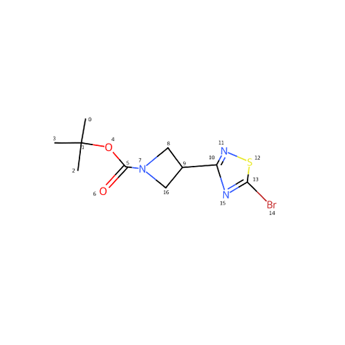 CC(C)(C)OC(=O)N1CC(c2nsc(Br)n2)C1